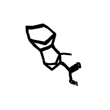 CC12CC(CC1C(=O)O)C1C3C=CC(C3)C12